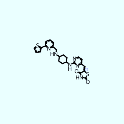 O=C1NC(=O)/C(=C\c2ccnc(NC3CCC(NCc4cccc(-c5cccs5)n4)CC3)n2)S1